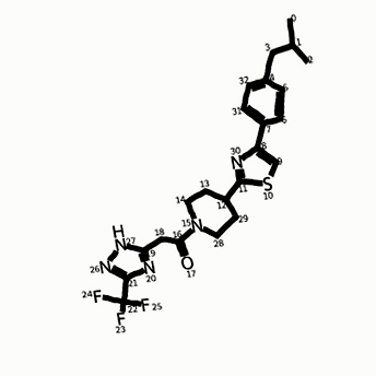 CC(C)Cc1ccc(-c2csc(C3CCN(C(=O)Cc4nc(C(F)(F)F)n[nH]4)CC3)n2)cc1